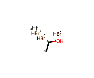 Br.Br.Br.CCO.[Hf]